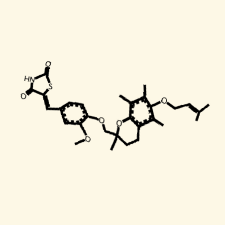 COc1cc(/C=C2\SC(=O)NC2=O)ccc1OCC1(C)CCc2c(C)c(OCC=C(C)C)c(C)c(C)c2O1